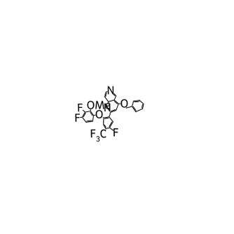 COc1c(Oc2cc(C(F)(F)F)c(F)cc2-c2cc(OCc3ccccc3)c3cnccc3n2)ccc(F)c1F